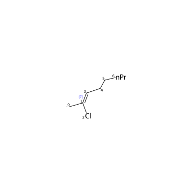 [CH2]/C(Cl)=C/CCCCC